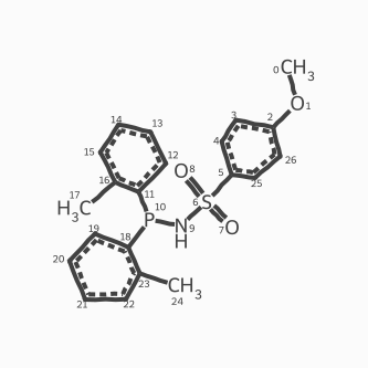 COc1ccc(S(=O)(=O)NP(c2ccccc2C)c2ccccc2C)cc1